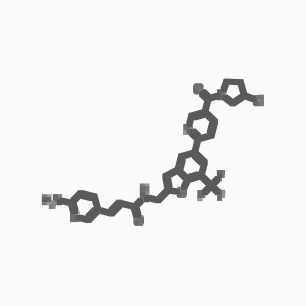 Nc1ccc(/C=C/C(=O)NCc2cc3cc(-c4ccc(C(=O)N5CCC(Cl)C5)cn4)cc(C(F)(F)F)c3o2)cn1